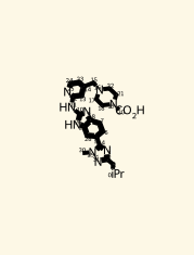 CC(C)Cc1nc(-c2ccc3nc(Nc4cc(CN5CCN(C(=O)O)CC5)ccn4)[nH]c3c2)n(C)n1